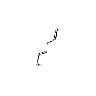 [CH]=C[CH]/C=C/C